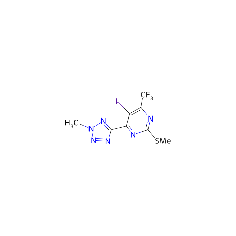 CSc1nc(-c2nnn(C)n2)c(I)c(C(F)(F)F)n1